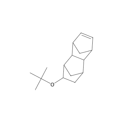 CC(C)(C)OC1CC2CC1C1C3C=CC(C3)C21